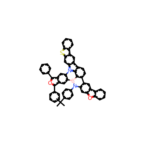 CC(C)(C)c1ccc(N2B3c4cc5c(-c6ccccc6)oc(-c6ccccc6)c5cc4-n4c5cc6sc7ccccc7c6cc5c5ccc(c3c54)-c3cc4c(cc32)oc2ccccc24)cc1